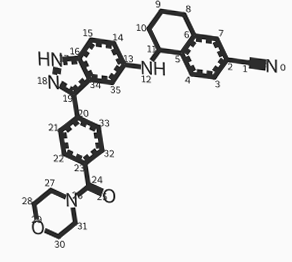 N#Cc1ccc2c(c1)CCCC2Nc1ccc2[nH]nc(-c3ccc(C(=O)N4CCOCC4)cc3)c2c1